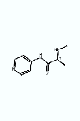 CN[C@@H](C)C(=O)Nc1ccncc1